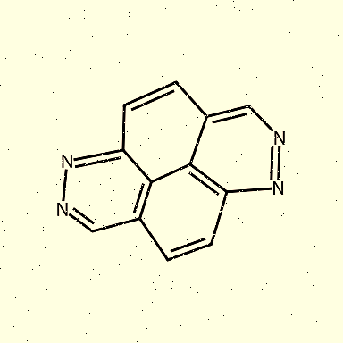 c1cc2nncc3ccc4nncc1c4c32